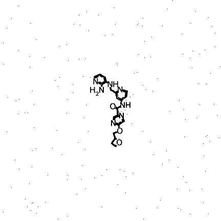 Nc1ncccc1NCc1cc(NC(=O)c2cnc(OCC3CCO3)cn2)ccn1